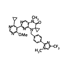 COc1ncnc(C2CC2)c1-c1ncc2c(n1)N(Cc1ccc(-c3nc(C(F)(F)F)cn3C)cc1)C1(CC1)C(=O)N2C